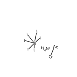 CC(=O)[O-].[I][Ir]([I])([I])([I])([I])[I].[NH4+]